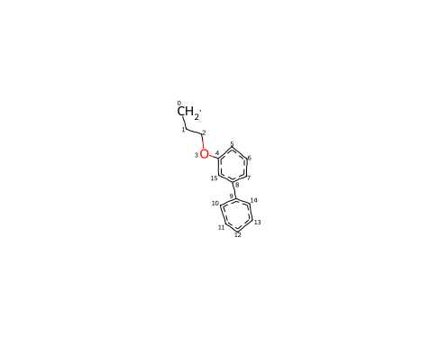 [CH2]CCOc1cccc(-c2ccccc2)c1